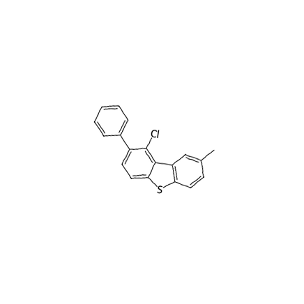 Cc1ccc2sc3ccc(-c4ccccc4)c(Cl)c3c2c1